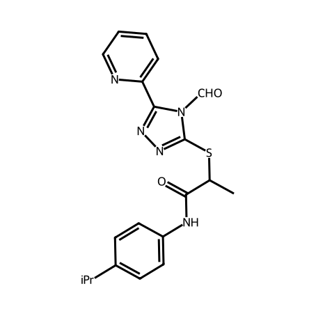 CC(Sc1nnc(-c2ccccn2)n1C=O)C(=O)Nc1ccc(C(C)C)cc1